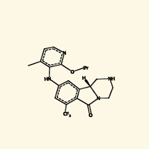 Cc1ccnc(OC(C)C)c1Nc1cc2c(c(C(F)(F)F)c1)C(=O)N1CCNC[C@@H]21